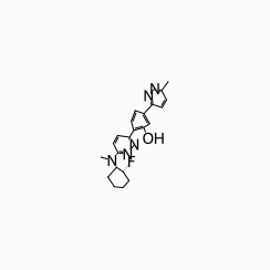 Cc1ccc(-c2ccc(-c3ccc(N(C)[C@H]4CCCC[C@H]4F)nn3)c(O)c2)nn1